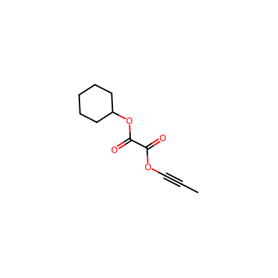 CC#COC(=O)C(=O)OC1CCCCC1